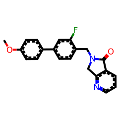 COc1ccc(-c2ccc(CN3Cc4ncccc4C3=O)c(F)c2)cc1